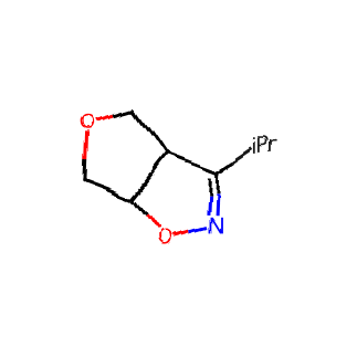 CC(C)C1=NOC2COCC12